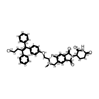 CN(CCOc1ccc(C(=C(CCCl)c2ccccc2)c2ccccc2)cc1)Cc1cc2c(cc1F)C(=O)N(C1CCC(=O)NC1=O)C2=O